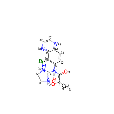 CC(O)C(=O)N(C1=NCCN1)c1ccc2nccnc2c1Br